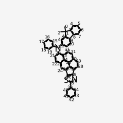 CC1(C)c2ccccc2-c2ccc(N(c3ccccc3)c3ccc4cc5c6c(ccc7ccc3c4c76)-c3nc(-c4ccccc4)sc3-5)cc21